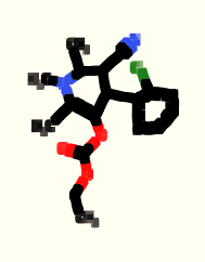 CCOC(=O)OC1=C(C)N(C)C(C)C(C#N)C1c1ccccc1Cl